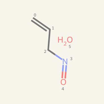 C=CCN=O.O